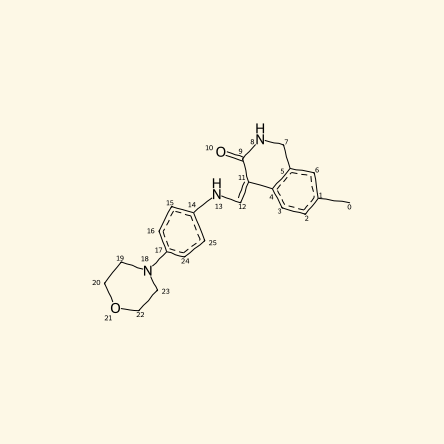 Cc1ccc2c(c1)CNC(=O)C2=CNc1ccc(N2CCOCC2)cc1